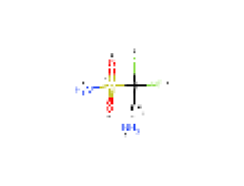 N.NS(=O)(=O)C(F)(F)C(F)(F)F